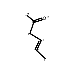 [CH2]C(=O)CC=CC